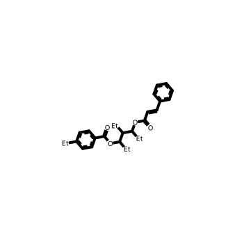 CCc1ccc(C(=O)OC(CC)C(CC)C(CC)OC(=O)C=Cc2ccccc2)cc1